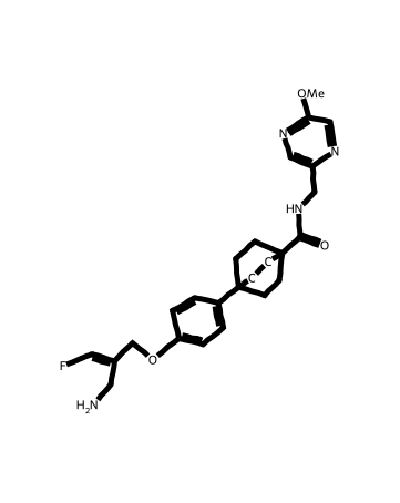 COc1cnc(CNC(=O)C23CCC(c4ccc(OCC(=CF)CN)cc4)(CC2)CC3)cn1